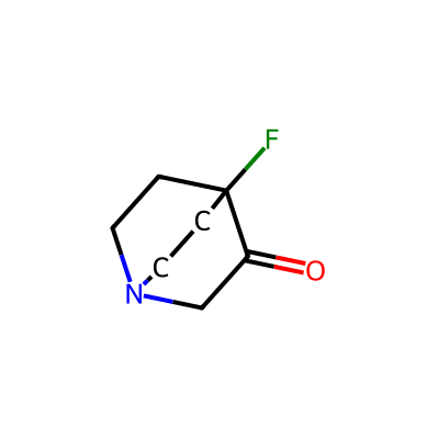 O=C1CN2CCC1(F)CC2